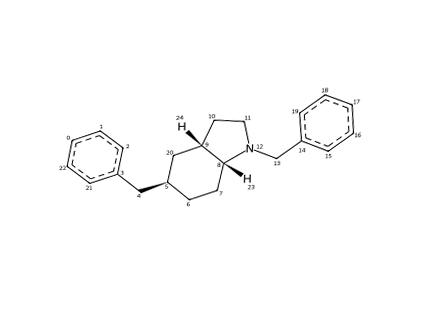 c1ccc(C[C@@H]2CC[C@@H]3[C@@H](CCN3Cc3ccccc3)C2)cc1